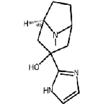 CN1C2CC[C@@H]1CC(O)(c1ncc[nH]1)C2